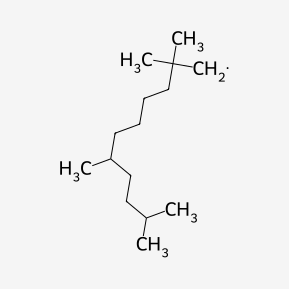 [CH2]C(C)(C)CCCCC(C)CCC(C)C